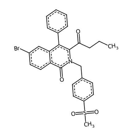 CCCC(=O)c1c(-c2ccccc2)c2cc(Br)ccc2c(=O)n1Cc1ccc(S(C)(=O)=O)cc1